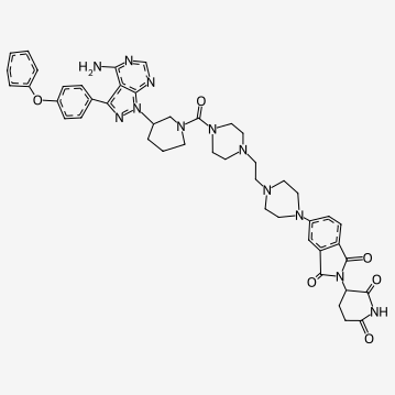 Nc1ncnc2c1c(-c1ccc(Oc3ccccc3)cc1)nn2C1CCCN(C(=O)N2CCN(CCN3CCN(c4ccc5c(c4)C(=O)N(C4CCC(=O)NC4=O)C5=O)CC3)CC2)C1